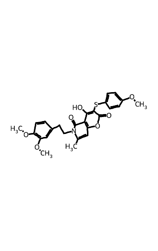 COc1ccc(Sc2c(O)c3c(=O)n(CCc4ccc(OC)c(OC)c4)c(C)cc3oc2=O)cc1